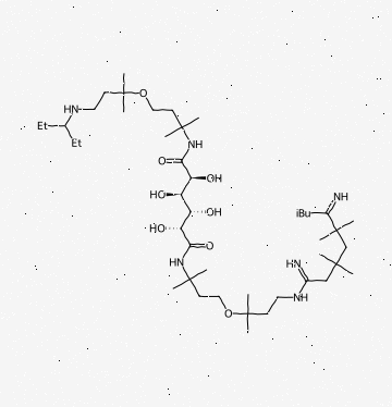 CCC(CC)NCCC(C)(C)OCCC(C)(C)NC(=O)[C@@H](O)[C@H](O)[C@H](O)[C@@H](O)C(=O)NC(C)(C)CCOC(C)(C)CCNC(=N)CC(C)(C)CC(C)(C)C(=N)C(C)CC